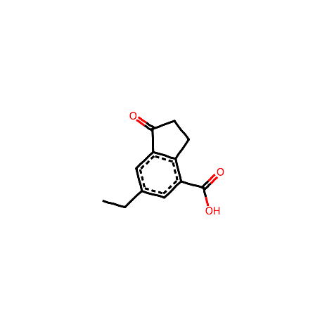 CCc1cc(C(=O)O)c2c(c1)C(=O)CC2